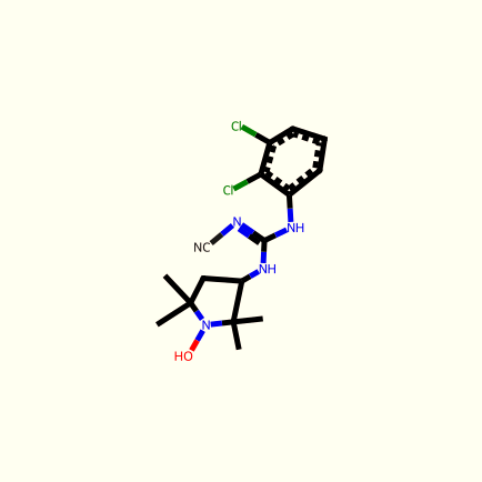 CC1(C)CC(NC(=NC#N)Nc2cccc(Cl)c2Cl)C(C)(C)N1O